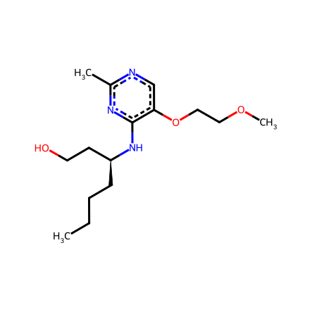 CCCC[C@@H](CCO)Nc1nc(C)ncc1OCCOC